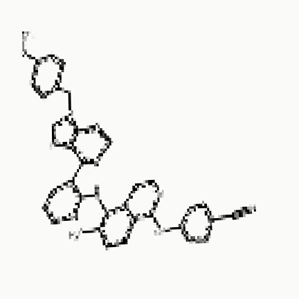 COc1ccc(Cn2cnc3c(-c4cccnc4Nc4c(C)ccc5c(Nc6ccc(C#N)cc6)nccc45)ncnc32)cc1